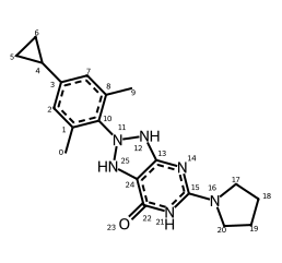 Cc1cc(C2CC2)cc(C)c1N1Nc2nc(N3CCCC3)[nH]c(=O)c2N1